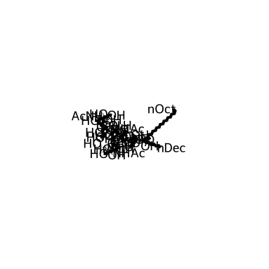 CCCCCCCC/C=C\CCCCCCCCCCCCCC(=O)N[C@@H](CO[C@@H]1OC(CO)[C@@H](O[C@@H]2OC(CO)[C@H](O[C@@H]3OC(CO[C@]4(C(=O)O)CC(O)[C@@H](NC(C)=O)C([C@H](O)[C@H](O)CO)O4)[C@H](O)[C@H](O[C@@H]4OC(CO)[C@H](O)[C@H](O[C@]5(C(=O)O)CC(O)[C@@H](NC(C)=O)C([C@H](O)[C@H](O)CO)O5)C4O)C3NC(C)=O)[C@H](O)C2O)[C@H](O)C1O)[C@H](O)/C=C/CCCCCCCCCCCCC